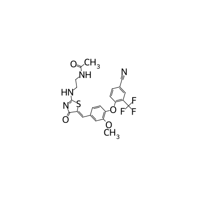 COc1cc(/C=C2\SC(NCCNC(C)=O)=NC2=O)ccc1Oc1ccc(C#N)cc1C(F)(F)F